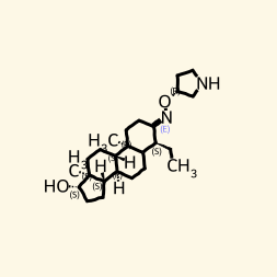 CC[C@@H]1/C(=N/O[C@@H]2CCNC2)CC[C@@]2(C)C1CC[C@H]1[C@@H]3CC[C@H](O)[C@@]3(C)CC[C@@H]12